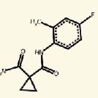 Cc1cc(F)ccc1NC(=O)C1(C(N)=O)CC1